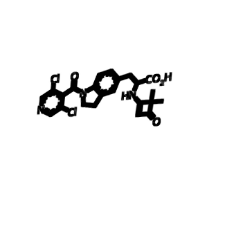 CC1(C)C(=O)C=C1NC(Cc1ccc2c(c1)CCN2C(=O)c1c(Cl)cncc1Cl)C(=O)O